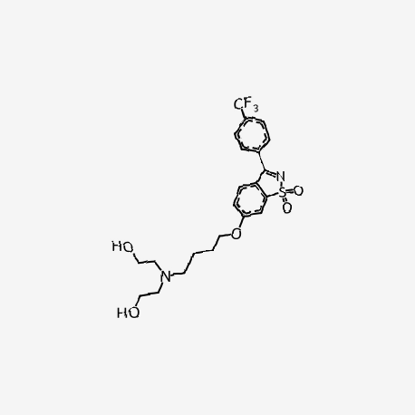 O=S1(=O)N=C(c2ccc(C(F)(F)F)cc2)c2ccc(OCCCCN(CCO)CCO)cc21